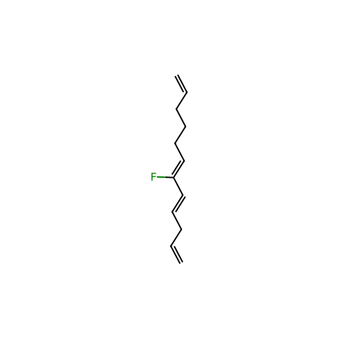 C=CCC=CC(F)=CCCCC=C